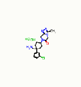 Cc1nnc2n1CC(=O)N(C1CCC(CN)(c3cccc(Cl)c3)CC1)C2.Cl.Cl